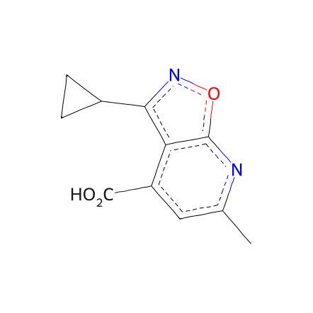 Cc1cc(C(=O)O)c2c(C3CC3)noc2n1